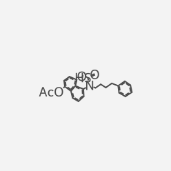 CC(=O)Oc1cccc2c(N(CCCCc3ccccc3)[SH](=O)=O)cccc12